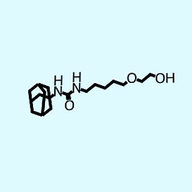 O=C(NCCCCCOCCO)NC12CC3CC(CC(C3)C1)C2